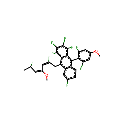 COC(/C=C(/F)Cc1c2cc(F)ccc2c(-c2c(F)cc(OC)cc2F)c2c(F)c(F)c(F)c(F)c12)=C/C(C)F